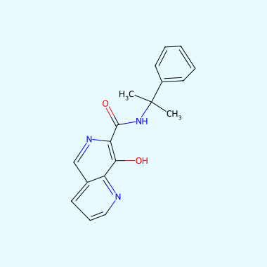 CC(C)(NC(=O)c1ncc2cccnc2c1O)c1ccccc1